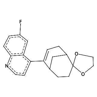 Fc1ccc2nccc(C3=CCC4CC3CCC43OCCO3)c2c1